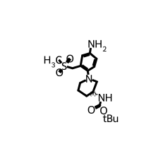 CC(C)(C)OC(=O)N[C@@H]1CCCN(c2ccc(N)cc2CS(C)(=O)=O)C1